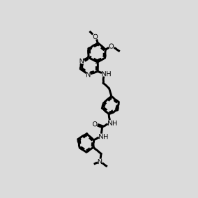 COc1cc2ncnc(NCCc3ccc(NC(=O)Nc4ccccc4CN(C)C)cc3)c2cc1OC